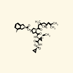 C=C[C@@H]1C[C@]1(NC(=O)C1C[C@@H](OC(=O)N2Cc3cccc(F)c3C2)CN1C(=O)CC(C)(C)CC(=O)C=C(C)C)C(=O)NS(=O)(=O)C1CC1